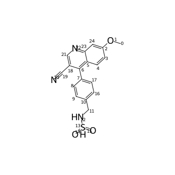 COc1ccc2c(-c3ccc(CN[SH](=O)=O)cc3)c(C#N)cnc2c1